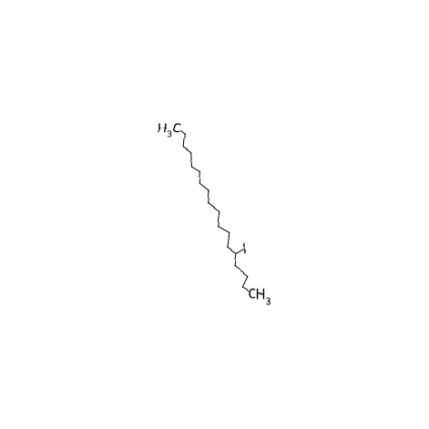 CCCCCCCCCCCCCC(I)CCCC